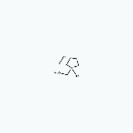 CC(=O)[O-].CC[N+]1(COC)CCCC1